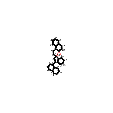 C1=CC(/C=C/c2cccc3ccccc23)(c2ccccc2)Oc2ccc3ccccc3c21